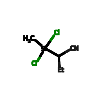 CCC(C#N)[Si](C)(Cl)Cl